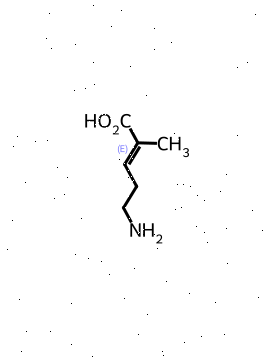 C/C(=C\CCN)C(=O)O